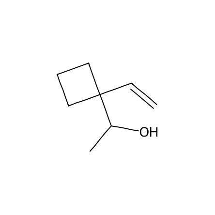 C=CC1(C(C)O)CCC1